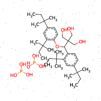 CCC(C)(C)c1ccc(OC(c2ccc(C(C)(C)CC)cc2C(C)(C)CC)C(CO)(CO)CO)c(C(C)(C)CC)c1.OP(O)O.OP(O)O